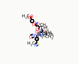 COC(=O)C1CCC(Oc2cc([C@H](C(=O)N3C[C@H](O[Si](C)(C)C(C)(C)C)C[C@H]3C(=O)N[C@@H](CN3CCOCC3)c3ccc(-c4scnc4C)cc3)C(C)C)on2)CC1